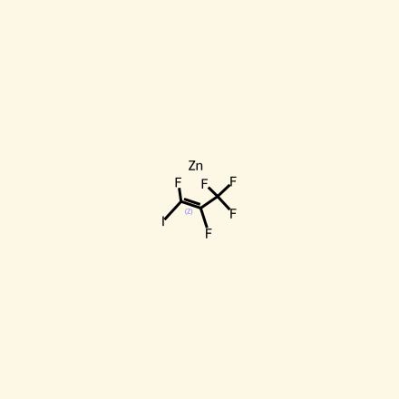 F/C(I)=C(/F)C(F)(F)F.[Zn]